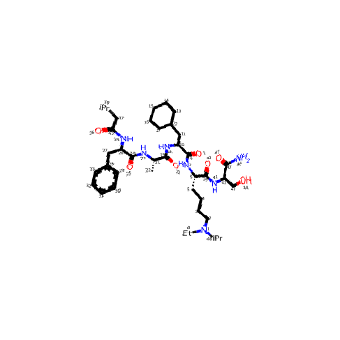 CCN(CCCC[C@H](NC(=O)C(CC1CCCCC1)NC(=O)[C@H](C)NC(=O)C(Cc1ccccc1)NC(=O)CC(C)C)C(=O)NC(CO)C(N)=O)C(C)C